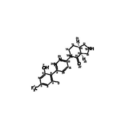 Cc1cc(C(F)(F)F)cc(O)c1-c1ccc(N2CC[C@H]3CNC[C@H]3C2=O)nn1